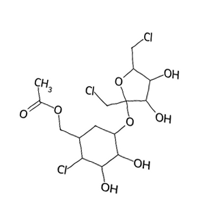 CC(=O)OCC1CC(OC2(CCl)OC(CCl)C(O)C2O)C(O)C(O)C1Cl